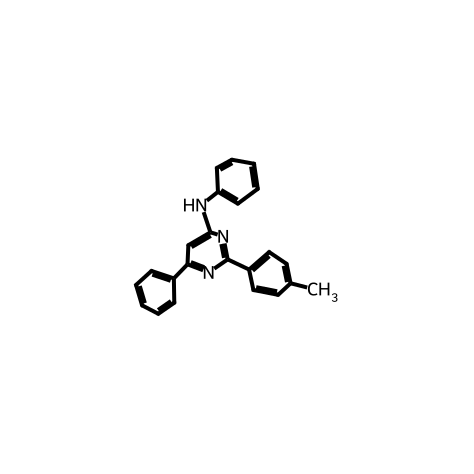 Cc1ccc(-c2nc(Nc3ccccc3)cc(-c3ccccc3)n2)cc1